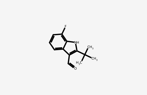 CC(C)(C)c1[nH]c2c(F)cccc2c1C=O